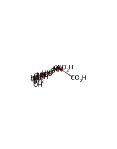 NC(=O)[C@H](CC1C=CC(O)=CC1)NCC(=O)C(CCCCNC(=O)COCCOCCNC(=O)COCCOCCNC(=O)CCC(NC(=O)CCCCCCCCCCCCCCCCC(=O)O)C(=O)O)NCC(=O)[C@@H]1CCCN1